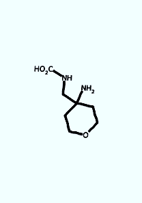 NC1(CNC(=O)O)CCOCC1